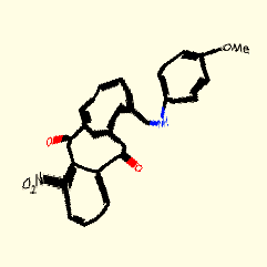 COc1ccc(Nc2cccc3c2C(=O)c2cccc([N+](=O)[O-])c2C3=O)cc1